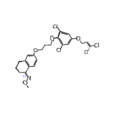 CO/N=C1\CCCc2cc(OCCCOc3c(Cl)cc(OCC=C(Cl)Cl)cc3Cl)ccc21